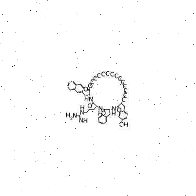 N=C(N)NCCCC1NC(=O)C(Cc2ccccc2)NC(=O)C(Cc2ccc(O)cc2)CCCCCCCCCCCCCOC(=O)C(Cc2ccc3ccccc3c2)NC1=O